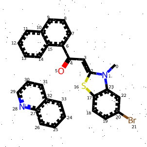 CN1C(=CC(=O)c2cccc3ccccc23)Sc2ccc(Br)cc21.c1ccc2ncccc2c1